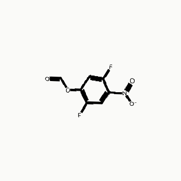 O=COc1cc(F)c([N+](=O)[O-])cc1F